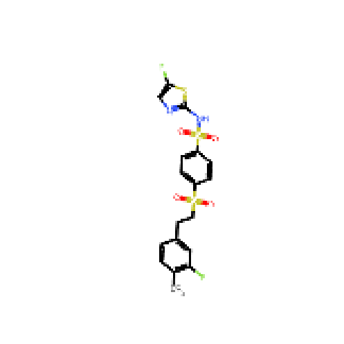 O=S(=O)(CCc1ccc(C(F)(F)F)c(F)c1)c1ccc(S(=O)(=O)Nc2ncc(F)s2)cc1